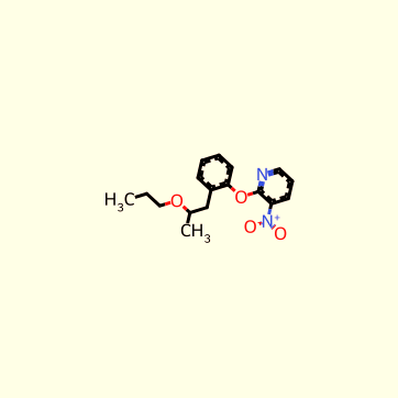 CCCOC(C)Cc1ccccc1Oc1ncccc1[N+](=O)[O-]